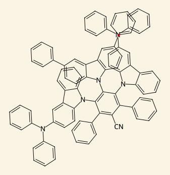 N#Cc1c(-c2ccccc2)c(-n2c3ccccc3c3cc(N(c4ccccc4)c4ccccc4)ccc32)c(-n2c3ccc(-c4ccccc4)cc3c3cc(-c4ccccc4)ccc32)c(-n2c3ccccc3c3cc(N(c4ccccc4)c4ccccc4)ccc32)c1-c1ccccc1